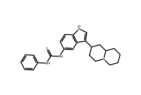 S=C(Nc1ccccc1)Nc1ccc2[nH]cc(C3CCN4CCCCC4C3)c2c1